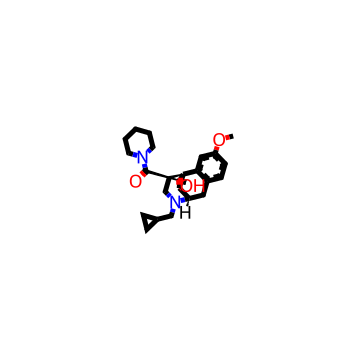 COc1ccc2c(c1)[C@]13CCN(CC4CC4)[C@H](C2)[C@]1(O)C[C@H](C(=O)N1CCCCC1)C3